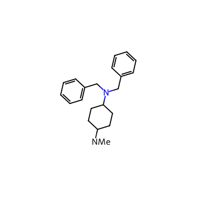 CNC1CCC(N(Cc2ccccc2)Cc2ccccc2)CC1